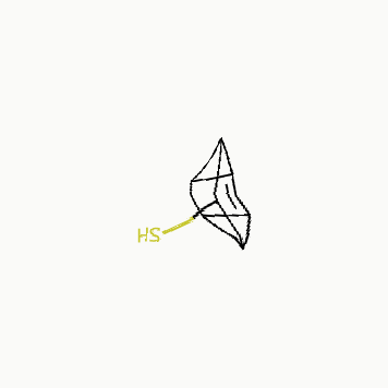 SC1C2C3=C4C1C4C32